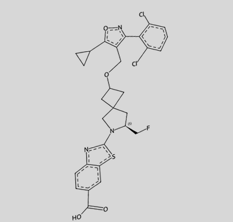 O=C(O)c1ccc2nc(N3CC4(CC(OCc5c(-c6c(Cl)cccc6Cl)noc5C5CC5)C4)C[C@H]3CF)sc2c1